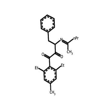 CCCC(C)=NC(Cc1ccccc1)C(=O)C(=O)c1c(CC)cc(C)cc1CC